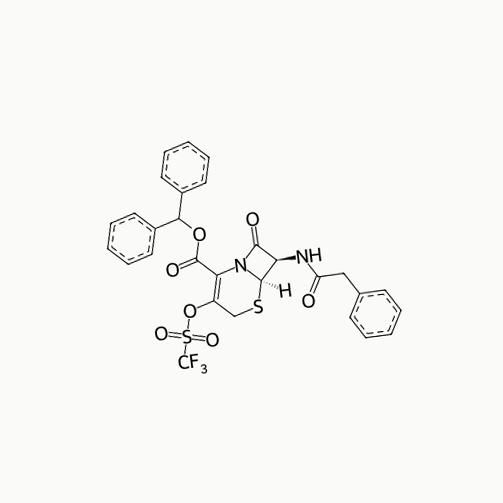 O=C(Cc1ccccc1)N[C@@H]1C(=O)N2C(C(=O)OC(c3ccccc3)c3ccccc3)=C(OS(=O)(=O)C(F)(F)F)CS[C@H]12